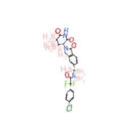 BN(C(=O)C(F)(F)c1ccc(Cl)cc1)C(B)(B)c1ccc2c(c1)CN(C1C(=O)NC(=O)C(B)(B)C1(B)B)C2=O